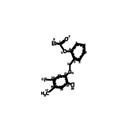 CCC(=O)Oc1ccccc1COc1cc(F)c(C)cc1Cl